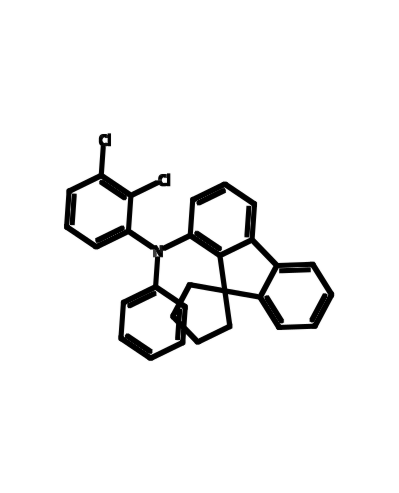 Clc1cccc(N(c2ccccc2)c2cccc3c2C2(CCCC2)c2ccccc2-3)c1Cl